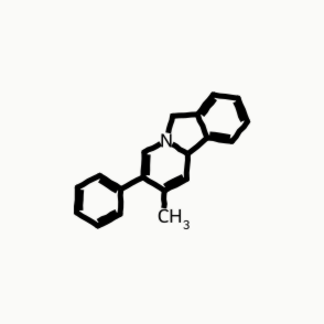 CC1=CC2c3ccccc3CN2C=C1c1ccccc1